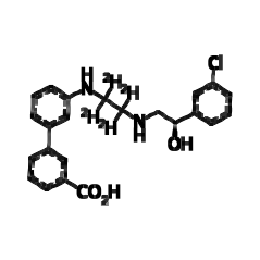 [2H]C([2H])(NC[C@H](O)c1cccc(Cl)c1)C([2H])([2H])Nc1cccc(-c2cccc(C(=O)O)c2)c1